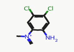 C=[N+](C)c1cc(Cl)c(Cl)cc1N